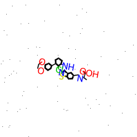 CC(N=Cc1ccc2snc(Nc3cccc(-c4ccc5c(c4)OCCO5)c3Cl)c2c1)C(=O)O